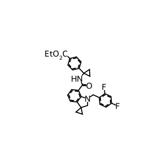 CCOC(=O)c1ccc(C2(NC(=O)c3cccc4c3N(Cc3ccc(F)cc3F)CC43CC3)CC2)cc1